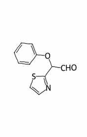 O=CC(Oc1ccccc1)c1nccs1